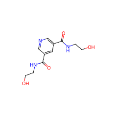 O=C(NCCO)c1cncc(C(=O)NCCO)c1